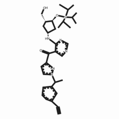 C#Cc1cccc(C(C)n2ccc(C(=O)c3cncnc3N[C@@H]3C[C@H](CO)[C@@H](O[Si](C(C)C)(C(C)C)C(C)C)C3)n2)c1